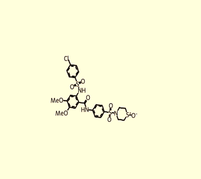 COc1cc(NS(=O)(=O)c2ccc(Cl)cc2)c(C(=O)Nc2ccc(S(=O)(=O)N3CC[S+]([O-])CC3)cc2)cc1OC